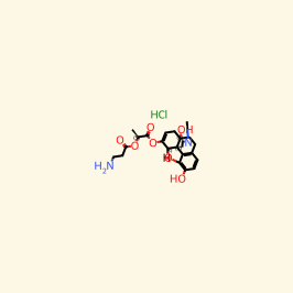 C[C@H](OC(=O)CCN)C(=O)OC1=CC[C@]2(O)C3Cc4ccc(O)c5c4[C@@]2(CCN3C)[C@H]1O5.Cl